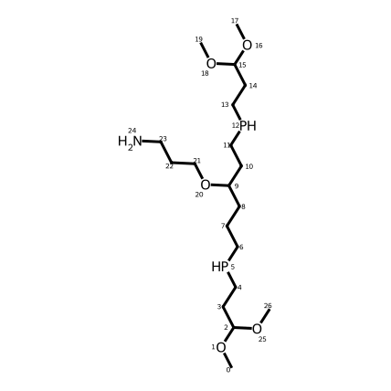 COC(CCPCCCC(CCPCCC(OC)OC)OCCCN)OC